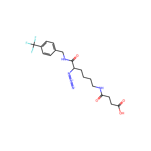 [N-]=[N+]=NC(CCCCNC(=O)CCC(=O)O)C(=O)NCc1ccc(C(F)(F)F)cc1